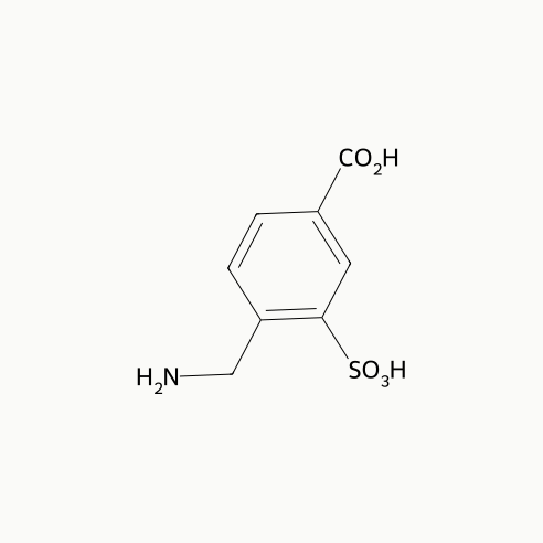 NCc1ccc(C(=O)O)cc1S(=O)(=O)O